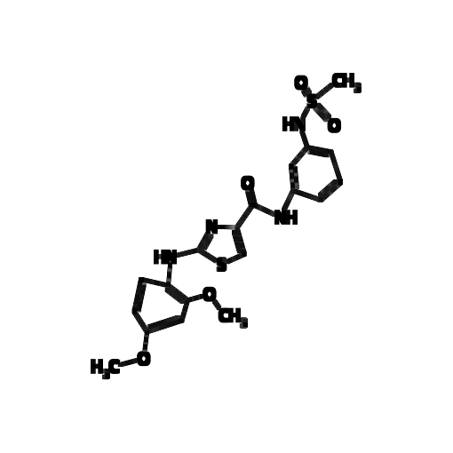 COc1ccc(Nc2nc(C(=O)Nc3cccc(NS(C)(=O)=O)c3)cs2)c(OC)c1